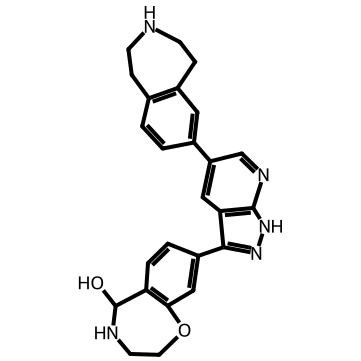 OC1NCCOc2cc(-c3n[nH]c4ncc(-c5ccc6c(c5)CCNCC6)cc34)ccc21